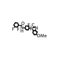 COc1ccc2c(c1)nc(C(F)(F)F)n2-c1ccc(NC(=O)c2cccc(F)c2F)cc1